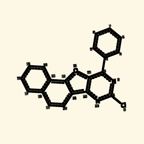 Clc1nc(-c2ccccc2)c2oc3c4ccccc4ccc3c2n1